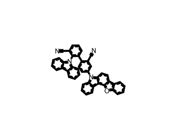 N#Cc1cc(-n2c3ccccc3c3c4oc5ccccc5c4ccc32)ccc1-c1cccc(C#N)c1-n1c2ccccc2c2ccccc21